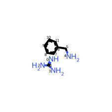 N=C(N)N.NCc1ccccc1